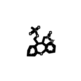 CS(=O)(=O)OCC1c2ccccc2Oc2ccccc2C1C[N+](=O)[O-]